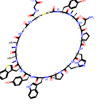 CCCC[C@H]1C(=O)N(C)[C@@H](CCCC)C(=O)NCC(=O)N[C@H](C(=O)NCC(N)=O)CSCC(=O)N[C@@H](Cc2ccc(O)cc2)C(=O)N(C)[C@@H](C)C(=O)N[C@@H](CC(N)=O)C(=O)N2CCC[C@H]2C(=O)N[C@@H](Cc2cnc[nH]2)C(=O)N[C@@H](CC(C)C)C(=O)N2CCC[C@H]2C(=O)N[C@@H](Cc2c[nH]c3ccccc23)C(=O)N[C@@H](Cc2ccc(O)cc2)C(=O)N[C@@H](Cc2csc3ccccc23)C(=O)N1C